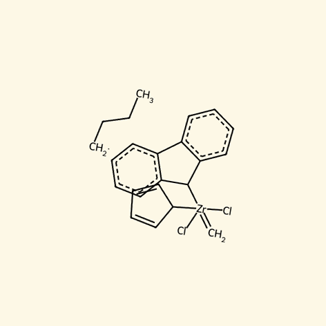 [CH2]=[Zr]([Cl])([Cl])([CH]1C=CC=C1)[CH]1c2ccccc2-c2ccccc21.[CH2]CCC